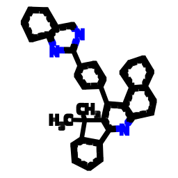 CC1(C)c2ccccc2-c2nc3ccc4ccccc4c3c(-c3ccc(-c4ncc5ccccc5n4)cc3)c21